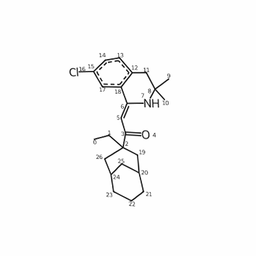 CCC1(C(=O)/C=C2\NC(C)(C)Cc3ccc(Cl)cc32)CC2CCCC(C2)C1